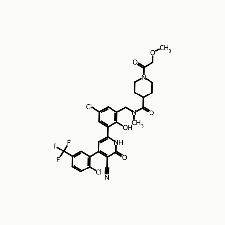 COCC(=O)N1CCC(C(=O)N(C)Cc2cc(Cl)cc(-c3cc(-c4cc(C(F)(F)F)ccc4Cl)c(C#N)c(=O)[nH]3)c2O)CC1